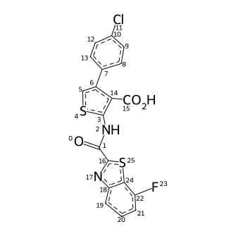 O=C(Nc1scc(-c2ccc(Cl)cc2)c1C(=O)O)c1nc2cccc(F)c2s1